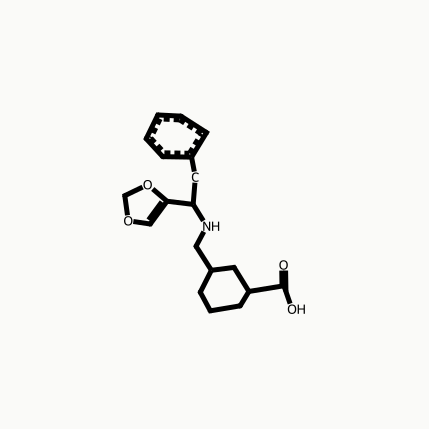 O=C(O)C1CCCC(CNC(Cc2ccccc2)C2=COCO2)C1